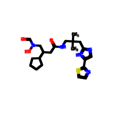 CC(C)(CNC(=O)CC(CN(O)C=O)C1CCCC1)Cc1ncc(-c2nccs2)[nH]1